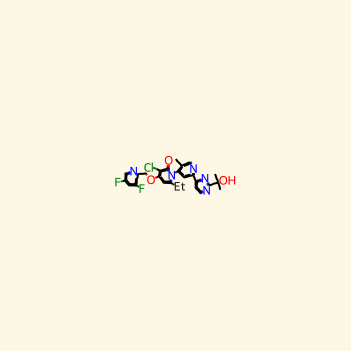 CCc1cc(OCc2ncc(F)cc2F)c(Cl)c(=O)n1-c1cc(-c2ccnc(C(C)(C)O)n2)ncc1C